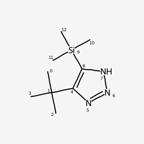 CC(C)(C)c1nn[nH]c1[Si](C)(C)C